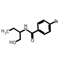 CCC(CO)NC(=O)c1ccc(Br)cc1